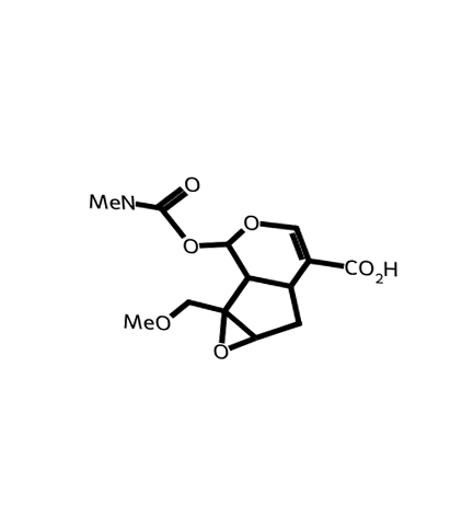 CNC(=O)OC1OC=C(C(=O)O)C2CC3OC3(COC)C12